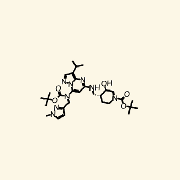 CC(C)c1cnn2c(N(Cc3ccn(C)n3)C(=O)OC(C)(C)C)cc(NC[C@H]3CCN(C(=O)OC(C)(C)C)C[C@@H]3O)nc12